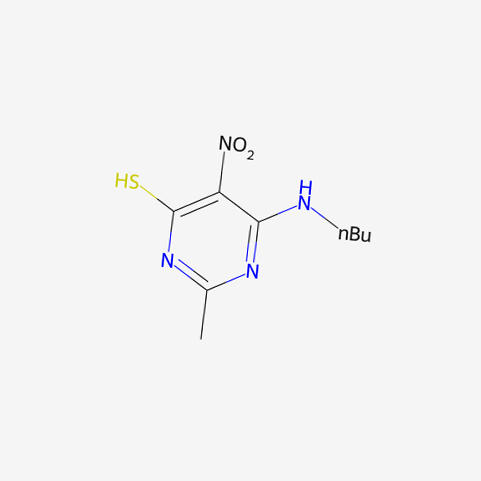 CCCCNc1nc(C)nc(S)c1[N+](=O)[O-]